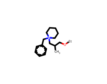 CCOCC(C)C[N+]1(Cc2ccccc2)CCCCC1